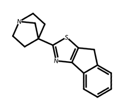 c1ccc2c(c1)Cc1sc(C34CCN(CC3)C4)nc1-2